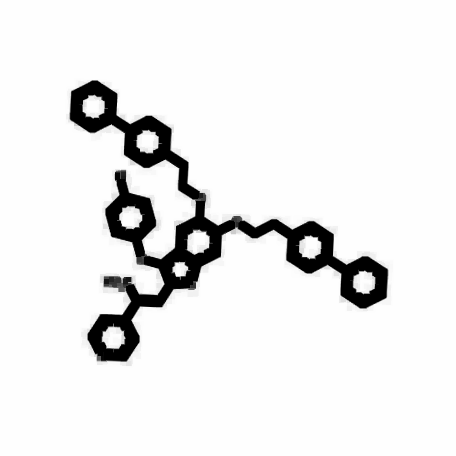 O=C(O)C(=Cc1sc2cc(OCCc3ccc(-c4ccccc4)cc3)c(OCCc3ccc(-c4ccccc4)cc3)cc2c1Oc1ccc(Cl)cc1)c1ccncc1